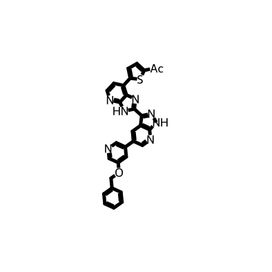 CC(=O)c1ccc(-c2ccnc3[nH]c(-c4n[nH]c5ncc(-c6cncc(OCc7ccccc7)c6)cc45)nc23)s1